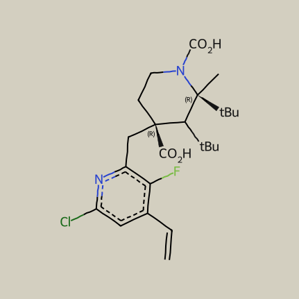 C=Cc1cc(Cl)nc(C[C@]2(C(=O)O)CCN(C(=O)O)[C@@](C)(C(C)(C)C)C2C(C)(C)C)c1F